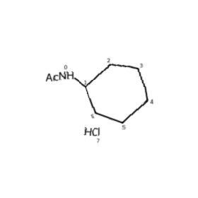 CC(=O)NC1CCCCC1.Cl